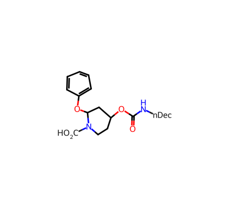 CCCCCCCCCCNC(=O)OC1CCN(C(=O)O)C(Oc2ccccc2)C1